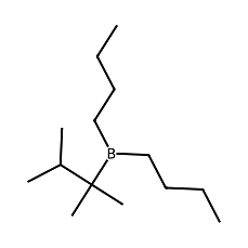 CCCCB(CCCC)C(C)(C)C(C)C